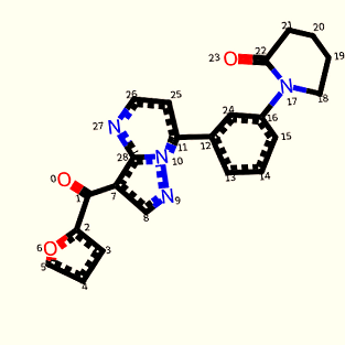 O=C(c1ccco1)c1cnn2c(-c3cccc(N4CCCCC4=O)c3)ccnc12